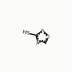 Sc1ncsn1